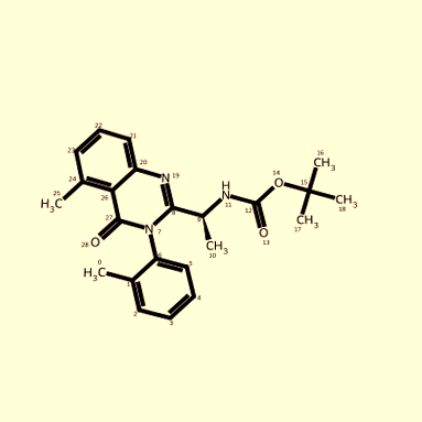 Cc1ccccc1-n1c([C@H](C)NC(=O)OC(C)(C)C)nc2cccc(C)c2c1=O